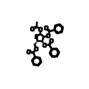 CC(=O)OC1S[C@@H](COC(=O)c2ccccc2)[C@@H](OC(=O)c2ccccc2)[C@@H]1OC(=O)c1ccccc1